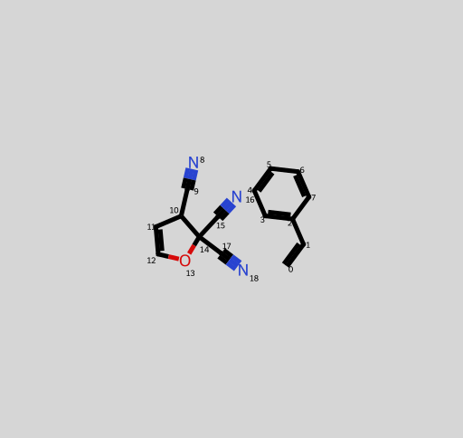 C=Cc1ccccc1.N#CC1C=COC1(C#N)C#N